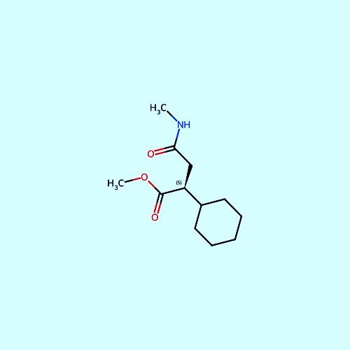 CNC(=O)C[C@H](C(=O)OC)C1CCCCC1